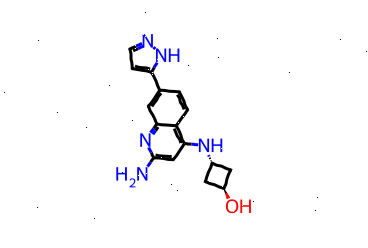 Nc1cc(N[C@H]2C[C@H](O)C2)c2ccc(-c3ccn[nH]3)cc2n1